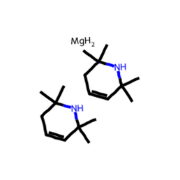 CC1(C)C=CCC(C)(C)N1.CC1(C)C=CCC(C)(C)N1.[MgH2]